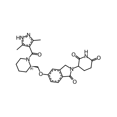 Cc1n[nH]c(C)c1C(=O)N1CCCC[C@@H]1COc1ccc2c(c1)CN(C1CCC(=O)NC1=O)C2=O